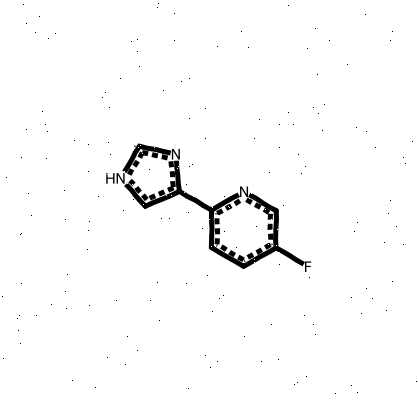 Fc1ccc(-c2c[nH][c]n2)nc1